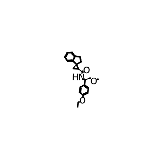 CCOc1ccc([C@H](COC)NC(=O)[C@H]2C[C@@]23CCc2ccccc23)cc1